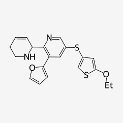 CCOc1cc(Sc2cnc(C3C=CCCN3)c(-c3ccco3)c2)cs1